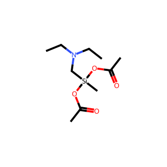 CCN(CC)C[Si](C)(OC(C)=O)OC(C)=O